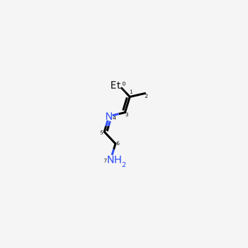 CC/C(C)=C\N=C/CN